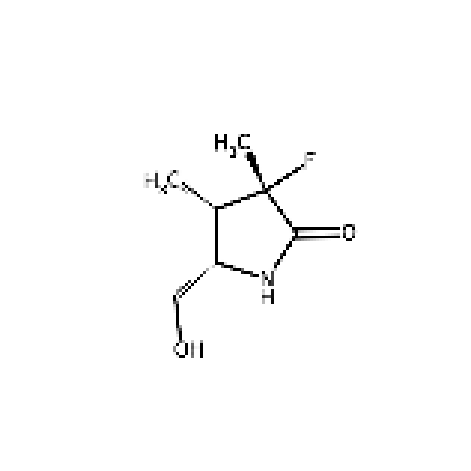 C[C@H]1[C@@H](CO)NC(=O)[C@@]1(C)F